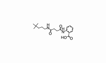 CC(C)(C)CCCNC(=O)CCC(=O)Nc1ccccc1C(=O)O